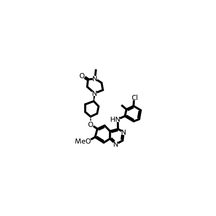 COc1cc2ncnc(Nc3cccc(Cl)c3C)c2cc1O[C@H]1CC[C@H](N2CCN(C)C(=O)C2)CC1